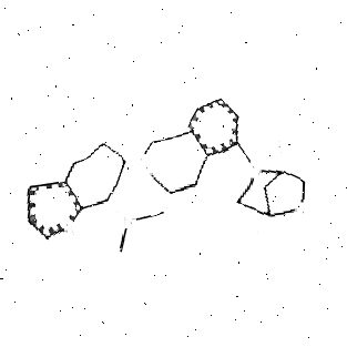 CN(C[C@H]1Cc2c(cccc2N2C[C@H]3C[C@@H]2CN3)CN1)[C@H]1CCCc2cccnc21